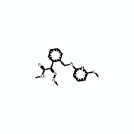 CNC(=O)/C(=N\OC)c1ccccc1COc1cccc(SC)n1